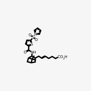 CC1(C)C2CC(CC=CCCCC(=O)O)C(NC(=O)c3ccc(S(=O)(=O)n4cccc4)s3)C1C2